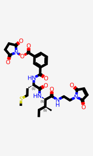 CC[C@H](C)[C@H](NC(=O)[C@H](CCSC)NC(=O)c1cccc(C(=O)ON2C(=O)CCC2=O)c1)C(=O)NCCN1C(=O)C=CC1=O